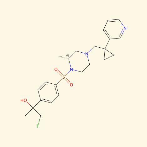 C[C@@H]1CN(CC2(c3cccnc3)CC2)CCN1S(=O)(=O)c1ccc(C(C)(O)CF)cc1